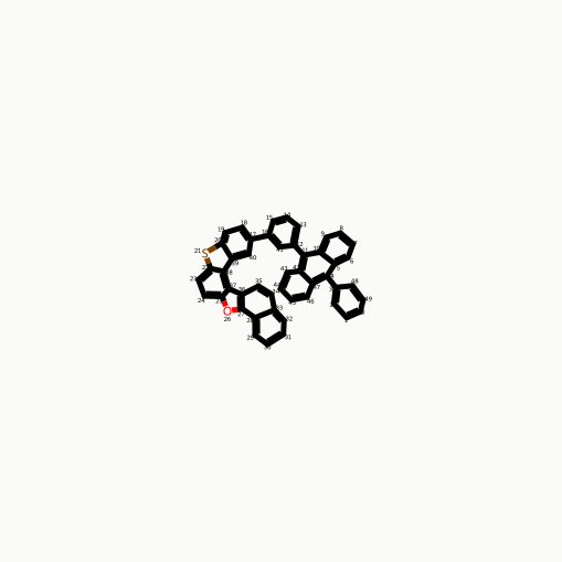 c1ccc(-c2c3ccccc3c(-c3cccc(-c4ccc5sc6ccc7oc8c9ccccc9ccc8c7c6c5c4)c3)c3ccccc23)cc1